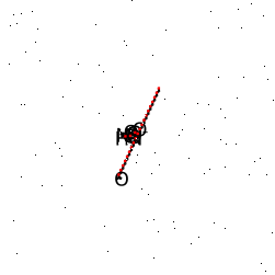 CCCCCCCCCCCCCCCCCCOCC(CNCCCCCCCCCCCCCCCCC(C)=O)OP(=O)([O-])OCC[N+](C)(C)C